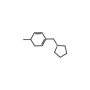 CC1C=CC(CN2CCCC2)=CC1